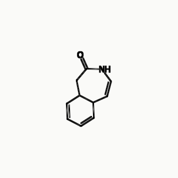 O=C1CC2C=CC=CC2C=CN1